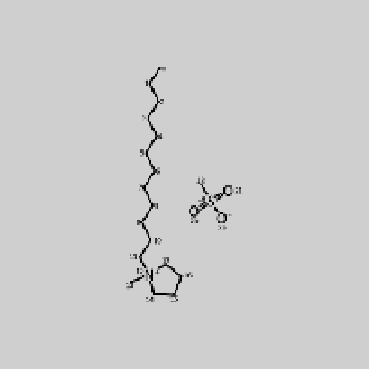 CCCCCCCCCCCC[N+]1(C)CCCC1.CS(=O)(=O)[O-]